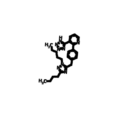 CCCCCn1nc(CCCC)nc1Cc1ccc(-c2ncccc2-c2nnn[nH]2)cc1